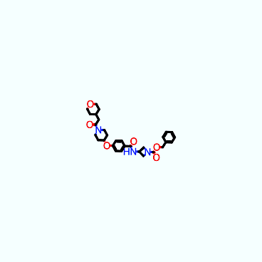 O=C(NC1CN(C(=O)OCc2ccccc2)C1)c1ccc(OC2CCN(C(=O)CC3CCOCC3)CC2)cc1